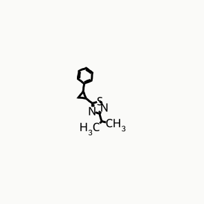 CC(C)c1nsc(C2CC2c2ccccc2)n1